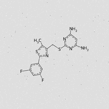 Cc1sc(-c2cc(F)cc(F)c2)nc1CSc1nc(N)cc(N)n1